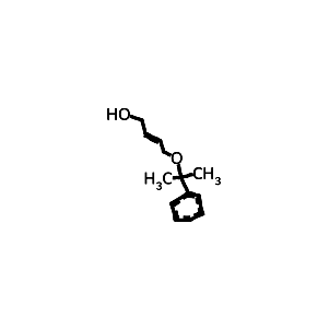 CC(C)(OCC=CCO)c1ccccc1